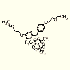 C=COCCOc1ccc([I+]c2ccc(OCCOC=C)cc2)cc1.O=S(=O)([C-](S(=O)(=O)C(F)(F)F)S(=O)(=O)C(F)(F)F)C(F)(F)F